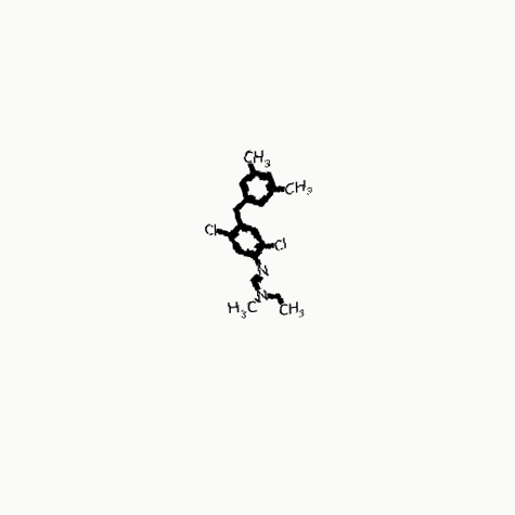 CCN(C)C=Nc1cc(Cl)c(Cc2cc(C)cc(C)c2)cc1Cl